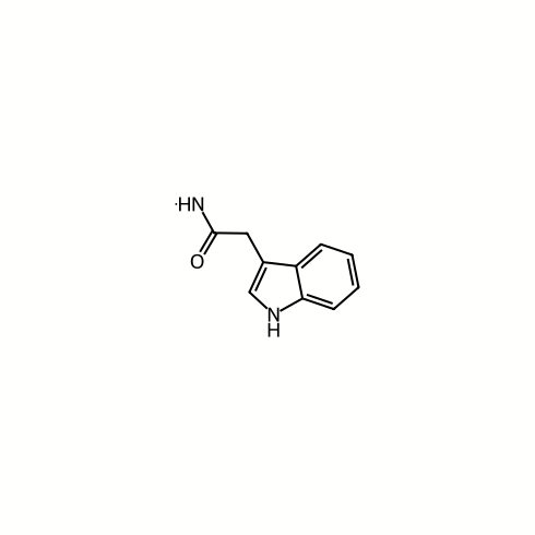 [NH]C(=O)Cc1c[nH]c2ccccc12